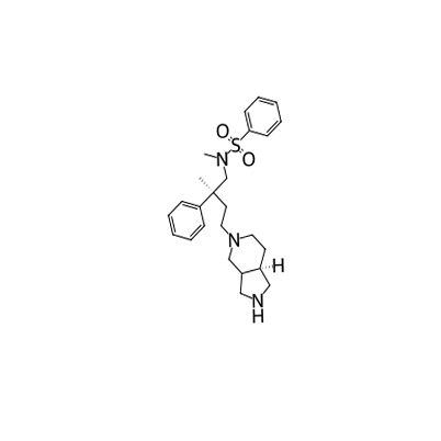 CN(C[C@@](C)(CCN1CC[C@H]2CNCC2C1)c1ccccc1)S(=O)(=O)c1ccccc1